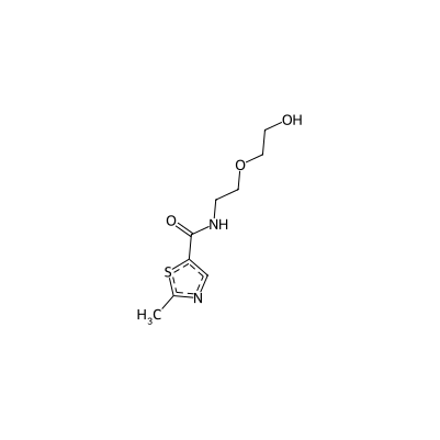 Cc1ncc(C(=O)NCCOCCO)s1